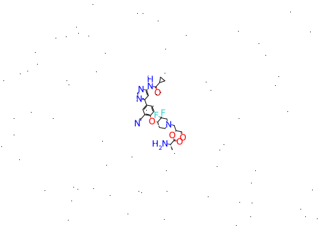 C[C@@H](N)C(=O)OC(C=O)CN1CC[C@H](Oc2ccc(-c3cc(NC(=O)C4CC4)ncn3)cc2C#N)C(F)(F)C1